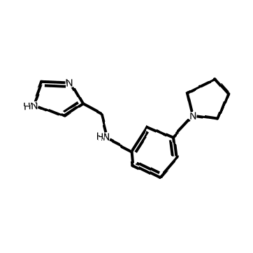 c1cc(NCc2c[nH]cn2)cc(N2CCCC2)c1